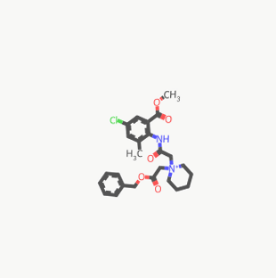 COC(=O)c1cc(Cl)cc(C)c1NC(=O)C[N+]1(CC(=O)OCc2ccccc2)CCCCC1